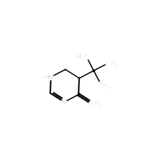 C=C1N=CNCC1C(C)(C)C